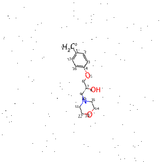 [CH2]c1ccc(OCC(O)CN2CCOCC2)cc1